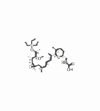 CC[Si](CC)(CC)O[C@H](C)[C@H](OC)[C@@H](C)[C@H]1O[C@]1(C)C[C@H](C)/C=C/C=C(\C)[C@H]1O[C@@H](CNC(=O)O)CC[C@@H]1C